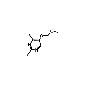 COCOc1cnc(C)nc1C